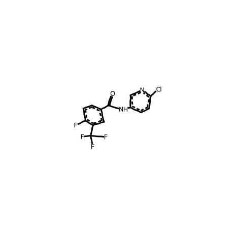 O=C(Nc1ccc(Cl)nc1)c1ccc(F)c(C(F)(F)F)c1